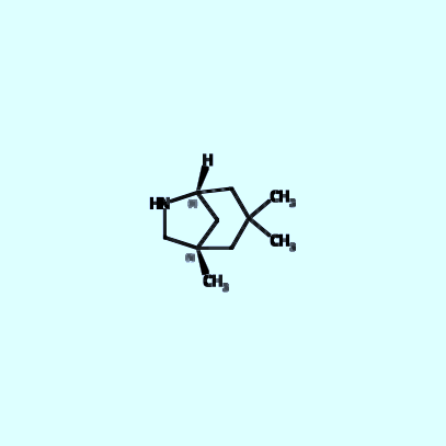 CC1(C)C[C@@H]2C[C@@](C)(CN2)C1